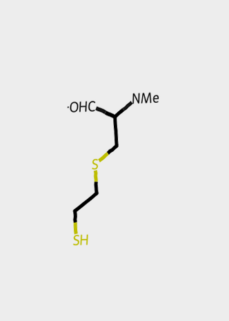 CNC([C]=O)CSCCS